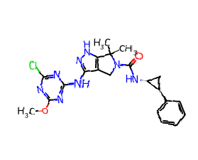 COc1nc(Cl)nc(Nc2n[nH]c3c2CN(C(=O)N[C@@H]2C[C@H]2c2ccccc2)C3(C)C)n1